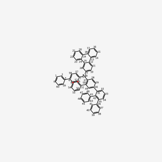 c1ccc(-c2ccc(N(c3ccc4c5ccccc5c5ccccc5c4c3)c3ccc(-c4cccc(-c5ccccc5)c4-c4ccccc4)cc3-c3ccccc3)cc2)cc1